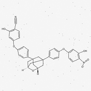 N#Cc1ccc(Oc2ccc(C34C[C@@H]5CC(c6ccc(Oc7ccc([N+](=O)[O-])c(O)c7)cc6)(C[C@H](C3)O5)C4)cc2)cc1O